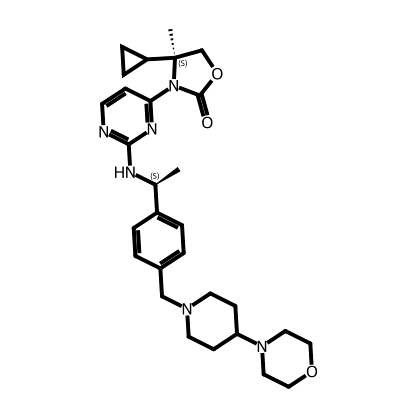 C[C@H](Nc1nccc(N2C(=O)OC[C@]2(C)C2CC2)n1)c1ccc(CN2CCC(N3CCOCC3)CC2)cc1